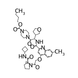 CCCCOC(=O)N1CCN(C(=O)C(NC(=O)c2cc(OCC(=O)N3CCC[C@H]3C(=O)NC3CCC3)c3ccc(C)cc3n2)C2CCOC2)CC1